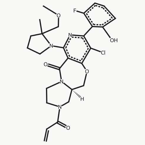 C=CC(=O)N1CCN2C(=O)c3c(N4CCCC4(C)COC)nc(-c4c(O)cccc4F)c(Cl)c3OC[C@H]2C1